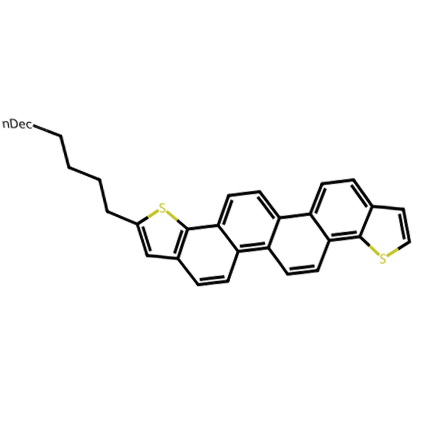 CCCCCCCCCCCCCCc1cc2ccc3c4ccc5c(ccc6ccsc65)c4ccc3c2s1